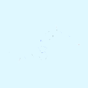 O=C(CCC(F)(F)F)N1CC=C(c2cccn3nc(Nc4ccc(C(=O)N5CCN(CCO)CC5)cc4)nc23)CC1